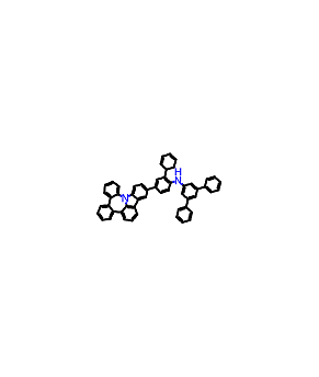 C1=CCC(c2cc(-c3ccc4c(c3)c3cccc5c3n4-c3ccccc3-c3ccccc3-5)ccc2Nc2cc(-c3ccccc3)cc(-c3ccccc3)c2)C=C1